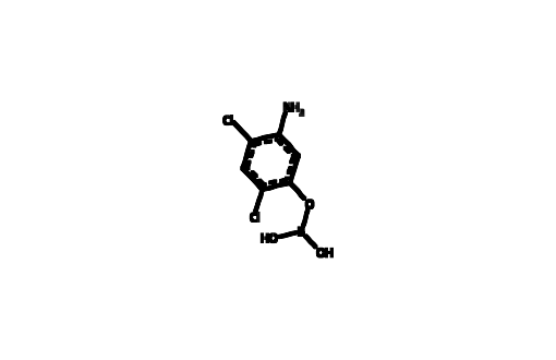 Nc1cc(OB(O)O)c(Cl)cc1Cl